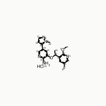 COc1ncc(F)cc1C(C)Oc1cc(-c2ccnn2C)cnc1N.Cl